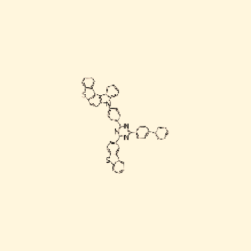 c1ccc(-c2ccc(-c3nc(-c4ccc(-n5c6ccccc6c6c7c(ccc65)sc5ccccc57)cc4)nc(-c4ccc5sc6ccccc6c5c4)n3)cc2)cc1